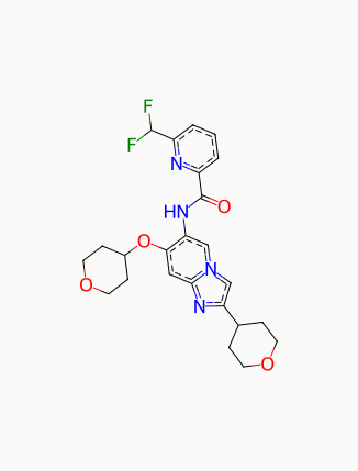 O=C(Nc1cn2cc(C3CCOCC3)nc2cc1OC1CCOCC1)c1cccc(C(F)F)n1